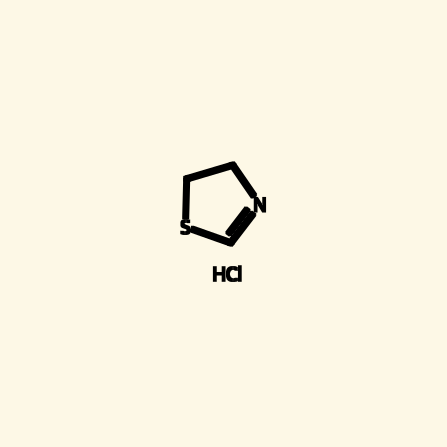 C1=NCCS1.Cl